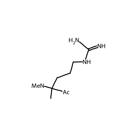 CNC(C)(CCCNC(=N)N)C(C)=O